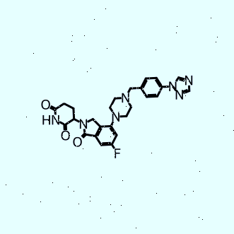 O=C1CCC(N2Cc3c(cc(F)cc3N3CCN(Cc4ccc(-n5cncn5)cc4)CC3)C2=O)C(=O)N1